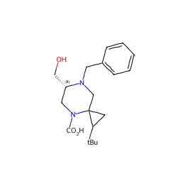 CC(C)(C)C1CC12CN(Cc1ccccc1)[C@@H](CO)CN2C(=O)O